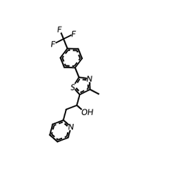 Cc1nc(-c2ccc(C(F)(F)F)cc2)sc1C(O)Cc1ccccn1